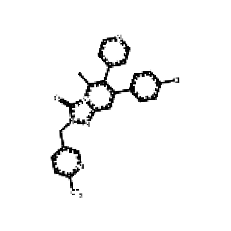 Cc1c(-c2ccncc2)c(-c2ccc(Cl)cc2)cc2nn(Cc3ccc(C(F)(F)F)nc3)c(=O)n12